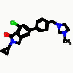 CN1CCN(Cc2ccc(-c3cc(Cl)c4c(c3)CN(C3CC3)C4=O)cc2)C1